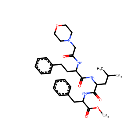 COC(=O)C(Cc1ccccc1)NC(=O)C(CC(C)C)NC(=O)C(CCc1ccccc1)NC(=O)CN1CCOCC1